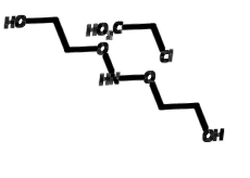 O=C(O)CCl.OCCONOCCO